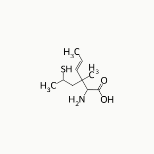 CC=CC(C)(CC(C)S)C(N)C(=O)O